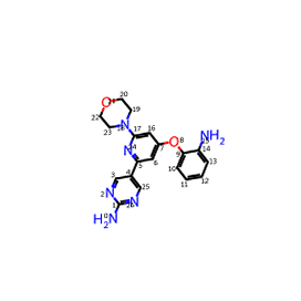 Nc1ncc(-c2cc(Oc3ccccc3N)cc(N3CCOCC3)n2)cn1